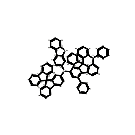 c1ccc(-c2cc(N(c3ccc4c(c3)C3(c5ccccc5-c5ccccc53)c3ccccc3-4)c3ccc4c(c3)sc3ccccc34)cc3c2-c2cccc4c2C3(c2ccccc2)c2ccccc2N4c2ccccc2)cc1